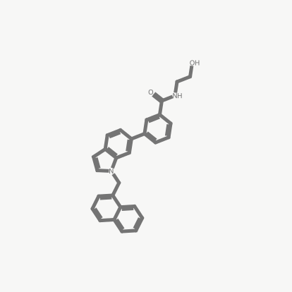 O=C(NCCO)c1cccc(-c2ccc3ccn(Cc4cccc5ccccc45)c3c2)c1